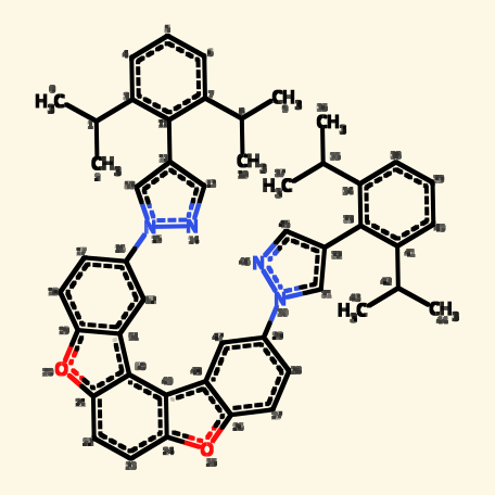 CC(C)c1cccc(C(C)C)c1-c1cnn(-c2ccc3oc4ccc5oc6ccc(-n7cc(-c8c(C(C)C)cccc8C(C)C)cn7)cc6c5c4c3c2)c1